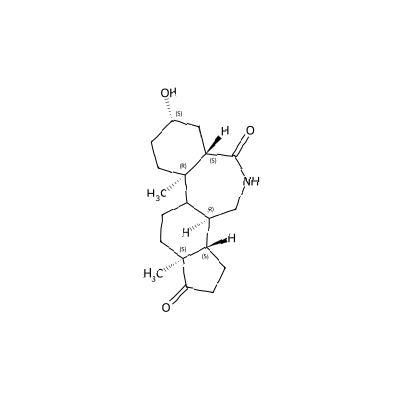 C[C@]12CCC3[C@@H](CNC(=O)[C@H]4C[C@@H](O)CC[C@]34C)[C@@H]1CCC2=O